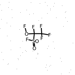 O=S(=O)(F)C(F)(OF)C(F)(F)F